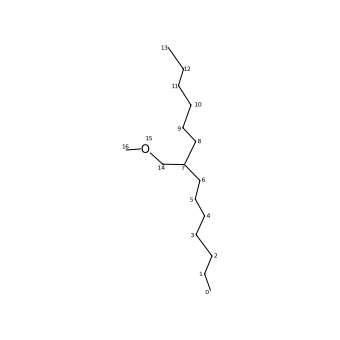 CCCCCCCC(CCCCCC)COC